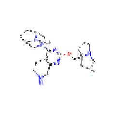 O=C(O)N1C2CCC1CN(c1nc(OC[C@@]34CCCN3C[C@H](F)C4)nc3c1CCNC3)C2